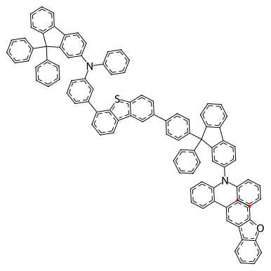 c1ccc(N(c2cccc(-c3cccc4c3sc3ccc(-c5ccc(C6(c7ccccc7)c7ccccc7-c7ccc(N(c8ccccc8)c8ccccc8-c8ccc9oc%10ccccc%10c9c8)cc76)cc5)cc34)c2)c2ccc3c(c2)C(c2ccccc2)(c2ccccc2)c2ccccc2-3)cc1